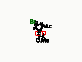 COC(=O)[C@H](C)Oc1ccc(Br)cc1C(C)=O